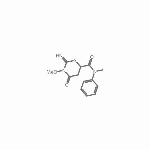 CON1C(=N)SC(C(=O)N(C)c2ccccc2)CC1=O